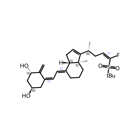 C=C1/C(=C\C=C2/CCC[C@]3(C)C([C@H](C)C/C=C(/F)S(=O)(=O)C(C)(C)C)=CC[C@@H]23)C[C@@H](O)C[C@@H]1O